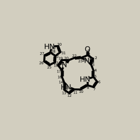 O=C1C=C2/C=c3/cc/c([nH]3)=C/c3ccc([nH]3)/C=C3/C=CC(=N3)/C=C/1N2.c1ccc2[nH]ccc2c1